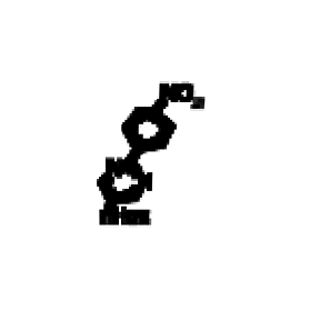 CCCCCCc1cnc(-c2ccc([N+](=O)[O-])cc2)nc1